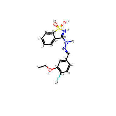 CCOc1cc(/C=N/N(C)C2=NS(=O)(=O)c3ccccc32)ccc1F